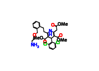 COC(=O)CC1=C(C(=O)OC)C(c2c(Cl)cccc2Cl)C(C(=O)OC)=C(CCc2ccccc2COCCN)N1